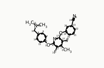 Cc1c(F)c(Oc2ccc(CN(C)C)cc2)nc(Oc2cccc(C#N)c2)c1F